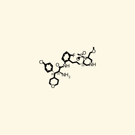 COCC1CNC[C@H](CCCc2c(F)cccc2NC(=O)[C@@H](N)[C@@H](c2ccc(Cl)cc2)C2CCOCC2)N1S(C)(=O)=O